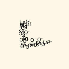 [La+3].[La+3].[Mg+2].[Mg+2].[O]=[Sn]([O-])[O-].[O]=[Sn]([O-])[O-].[O]=[Sn]([O-])[O-].[O]=[Sn]([O-])[O-].[O]=[Sn]([O-])[O-]